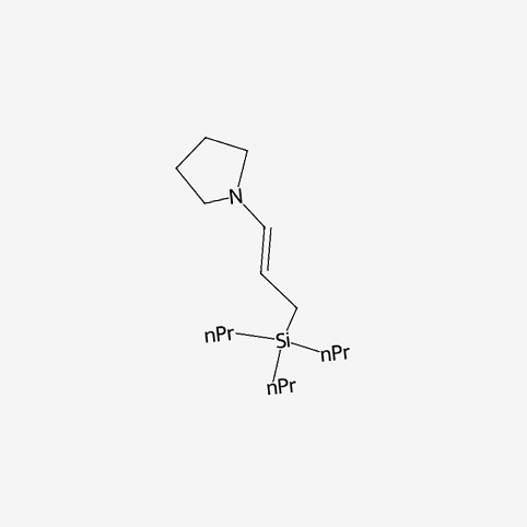 CCC[Si](CC=CN1CCCC1)(CCC)CCC